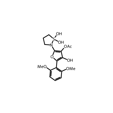 COc1cccc(OC)c1-c1oc(N2CCCS2(O)O)c(OC(C)=O)c1O